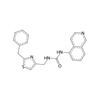 O=C(NCc1csc(Cc2ccccc2)n1)Nc1cccc2cnccc12